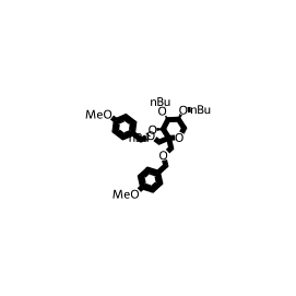 CCCCO[C@@H]1[C@@H](OCCCC)COC(COCc2ccc(OC)cc2)(COCc2ccc(OC)cc2)[C@H]1OCCCC